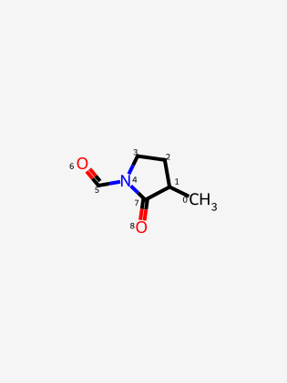 CC1CCN(C=O)C1=O